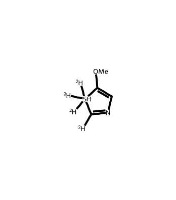 [2H]C1=NC=C(OC)[SH]1([2H])([2H])[2H]